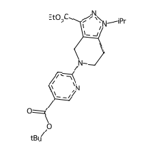 CCOC(=O)c1nn(C(C)C)c2c1CN(c1ccc(C(=O)OC(C)(C)C)cn1)CC2